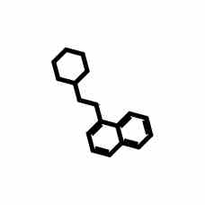 [CH](CC1CCCCC1)c1cccc2ccccc12